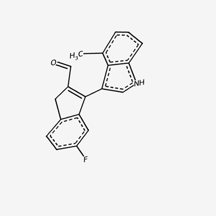 Cc1cccc2[nH]cc(C3=C(C=O)Cc4ccc(F)cc43)c12